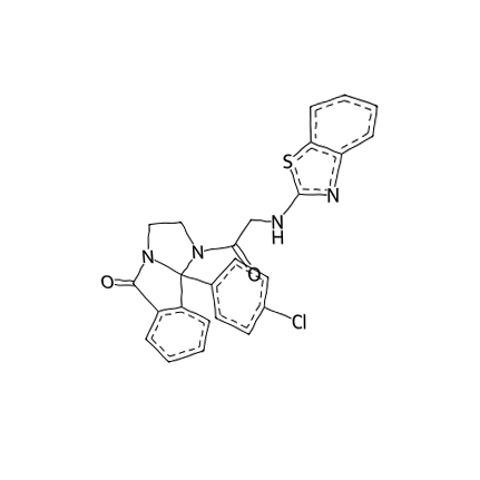 O=C(CNc1nc2ccccc2s1)N1CCN2C(=O)c3ccccc3C12c1ccc(Cl)cc1